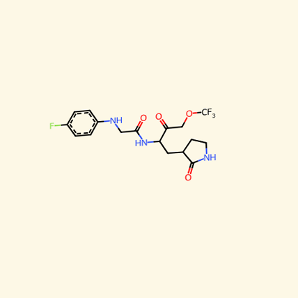 O=C(CNc1ccc(F)cc1)NC(CC1CCNC1=O)C(=O)COC(F)(F)F